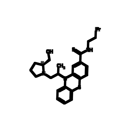 CC(C)CCNC(=S)c1ccc2c(c1)N(C(C)CN1CCC[C@H]1CO)c1ccccc1S2